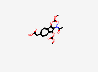 COC(=O)Oc1c2ccc(CC(=O)O)ccc-2c(OC(=O)OC)c1NC(C)=O